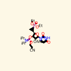 CCOP(=O)(OCC)C1CC1[C@H]1O[C@@H](n2ccc(=O)[nH]c2=O)[C@@H](OC)[C@H]1OP(OCCC#N)N(C(C)C)C(C)C